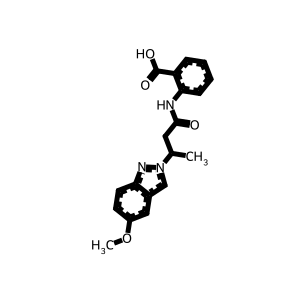 COc1ccc2nn(C(C)CC(=O)Nc3ccccc3C(=O)O)cc2c1